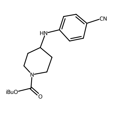 CC(C)COC(=O)N1CCC(Nc2ccc(C#N)cc2)CC1